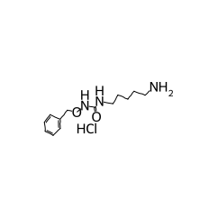 Cl.NCCCCCNC(=O)NOCc1ccccc1